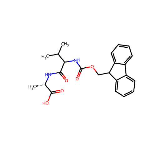 CC(C)C(NC(=O)OCC1c2ccccc2-c2ccccc21)C(=O)N[C@@H](C)C(=O)O